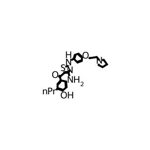 CCCc1cc(C(=O)c2sc(Nc3ccc(OCCN4CCCC4)cc3)nc2N)ccc1O